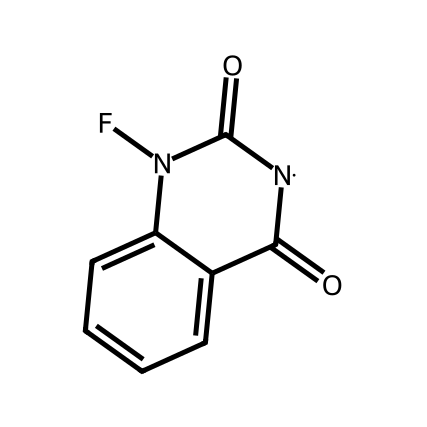 O=C1[N]C(=O)N(F)c2ccccc21